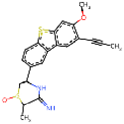 CC#Cc1cc2c(cc1OC)sc1ccc(C3C[S+]([O-])C(C)C(=N)N3)cc12